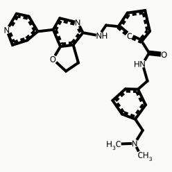 CN(C)Cc1cccc(CNC(=O)c2cccc(CNc3ncc(-c4ccncc4)c4c3CCO4)c2)c1